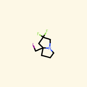 FC1(F)CN2CCCC2(CI)C1